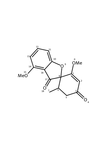 COC1=CC(=O)CC(C)C12Oc1cccc(OC)c1C2=O